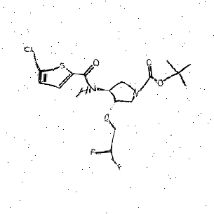 CC(C)(C)OC(=O)N1C[C@H](NC(=O)c2ccc(Cl)s2)[C@@H](OCC(F)F)C1